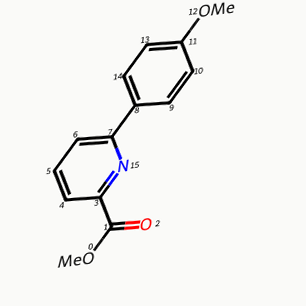 COC(=O)c1cccc(-c2ccc(OC)cc2)n1